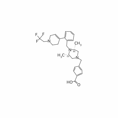 C[C@@H]1CN(Cc2ccc(C(=O)O)cc2)C[C@H](C)N1Cc1ccccc1C1=CCN(CC(F)(F)F)CC1